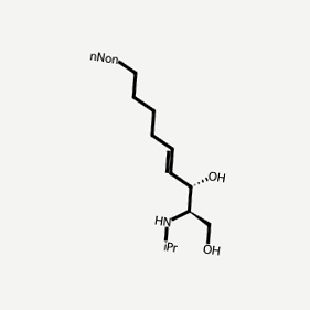 CCCCCCCCCCCCC/C=C/[C@H](O)[C@@H](CO)NC(C)C